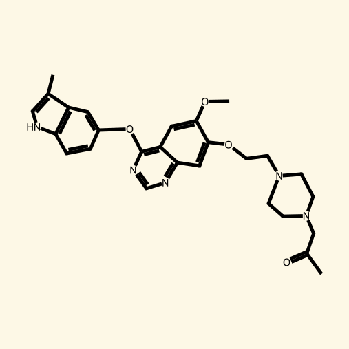 COc1cc2c(Oc3ccc4[nH]cc(C)c4c3)ncnc2cc1OCCN1CCN(CC(C)=O)CC1